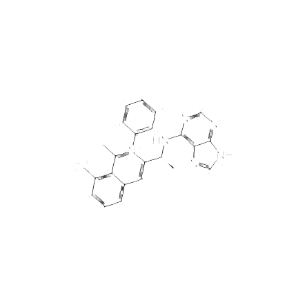 Cc1c2c(Cl)cccc2cc([C@H](C)Nc2ncnc3[nH]cnc23)[n+]1-c1ccccc1